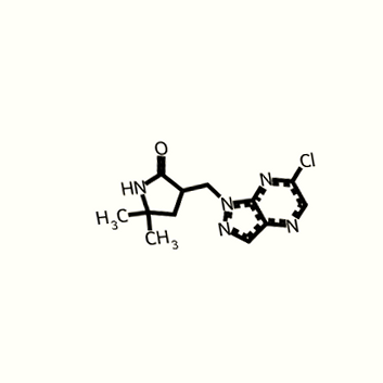 CC1(C)CC(Cn2ncc3ncc(Cl)nc32)C(=O)N1